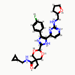 CCC1(C(=O)NCC2CC2)COC(c2nc(-c3ccc(F)cc3)c(-c3ccnc(NCC4CCCO4)n3)[nH]2)OC1